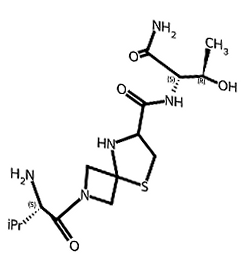 CC(C)[C@H](N)C(=O)N1CC2(C1)NC(C(=O)N[C@H](C(N)=O)[C@@H](C)O)CS2